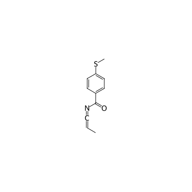 CC=C=NC(=O)c1ccc(SC)cc1